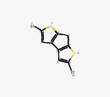 CCc1cc2c(s1)Cc1sc(CC)cc1-2